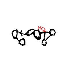 CC(C)(c1ccc2cc(C3(O)c4ccccc4-c4ccccc43)ccc2c1)c1ccccc1-c1ccccc1